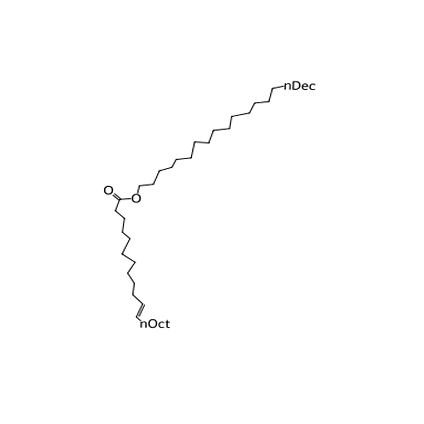 CCCCCCCCC=CCCCCCCCCCC(=O)OCCCCCCCCCCCCCCCCCCCCCCCCC